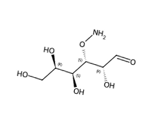 NO[C@@H]([C@@H](O)[C@H](O)CO)[C@@H](O)C=O